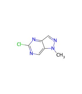 Cn1ncc2nc(Cl)ncc21